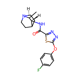 C[C@H]1[C@H](NC(=O)c2nnc(Oc3ccc(F)cc3)s2)C2CCN1CC2